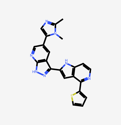 Cc1ncc(-c2cnc3[nH]nc(-c4cc5c(-c6cccs6)nccc5[nH]4)c3c2)n1C